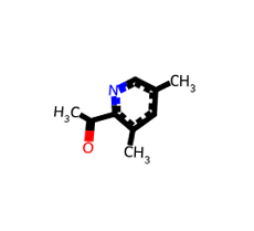 CC(=O)c1ncc(C)cc1C